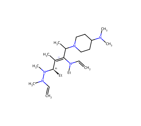 C=CN(CC)/C(=C(/C)[C@@H](CC)N(C)N(C)C=C)C(C)N1CCC(N(C)C)CC1